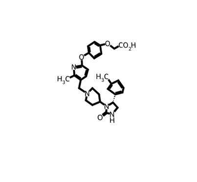 Cc1cccc([C@@H]2CNC(=O)N2C2CCN(Cc3ccc(Oc4ccc(OCC(=O)O)cc4)nc3C)CC2)c1